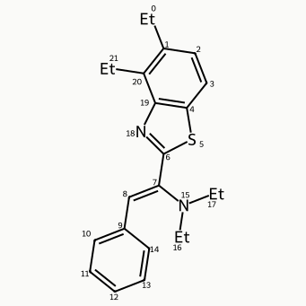 CCc1ccc2sc(C(=Cc3ccccc3)N(CC)CC)nc2c1CC